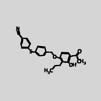 CCCc1c(OCc2ccc(Sc3ccc(C#N)cc3)cc2)ccc(C(C)=O)c1O